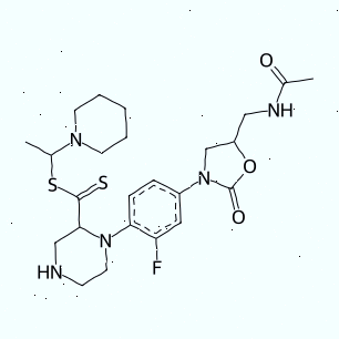 CC(=O)NCC1CN(c2ccc(N3CCNCC3C(=S)SC(C)N3CCCCC3)c(F)c2)C(=O)O1